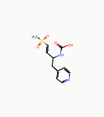 CS(=O)(=O)/C=C/C(Cc1ccncc1)NC(=O)O